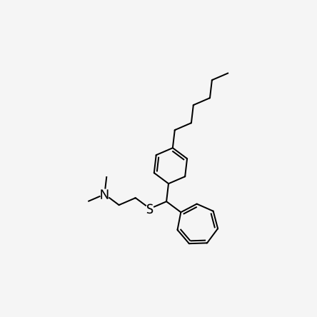 CCCCCCC1=CCC(C(SCCN(C)C)C2=CC=CC=C=C2)C=C1